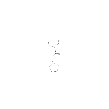 CC(C)C[C@H](NC(C)(C)C)C(=O)OC1CCCC1